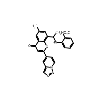 Cc1cc(C(C)Nc2ccccc2C(=O)O)c2oc(-c3ccn4nncc4c3)cc(=O)c2c1